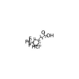 Cl.O=C(O)C=Cc1cccc(C(F)(F)F)c1